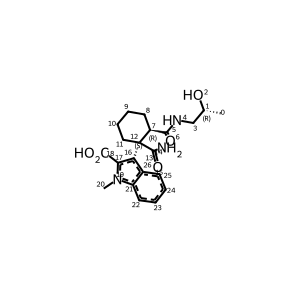 C[C@@H](O)CNC(=O)[C@@H]1CCCC[C@@]1(C(N)=O)c1c(C(=O)O)n(C)c2ccccc12